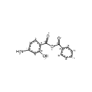 Nc1ccc(C(=O)OC(=O)c2ccccc2)c(O)c1